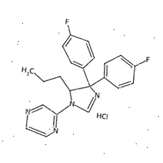 CCCC1N(c2cnccn2)C=NC1(c1ccc(F)cc1)c1ccc(F)cc1.Cl